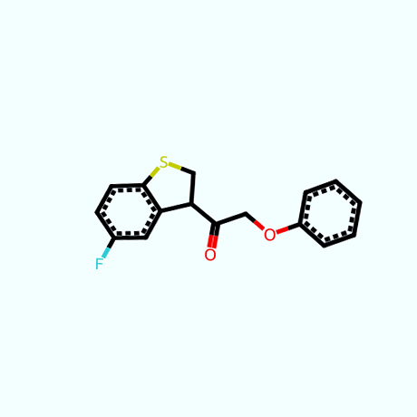 O=C(COc1ccccc1)C1CSc2ccc(F)cc21